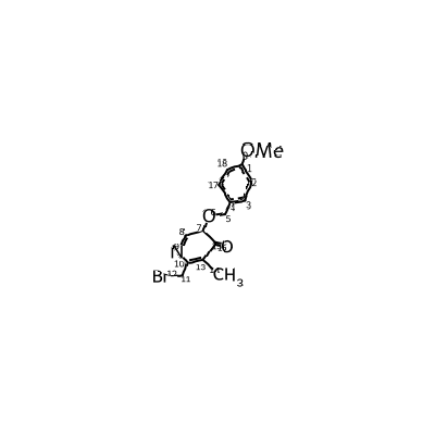 COc1ccc(COC2C=NC(CBr)=C(C)C2=O)cc1